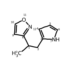 C[C](Cc1ccc[nH]1)c1ccon1